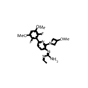 C/C=N\C(N)=N/c1ccc(-c2c(F)c(OC)cc(OC)c2F)nc1N1CC(OC)C1